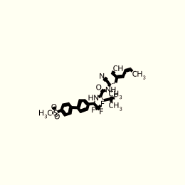 C=C/C(=C\C=C/C)C[C@@H](C#N)NC(=O)[C@H](CC(C)(C)F)N[C@@H](c1ccc(-c2ccc(S(C)(=O)=O)cc2)cc1)C(F)(F)F